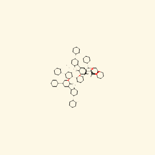 Cc1ccccc1-c1ccc2c(c1)c1cc(-c3ccccc3C)ccc1n2-c1ccc(-c2nc(-c3ccccc3)nc(-c3ccccc3)n2)cc1-c1ccc(-c2ccccc2C#N)cc1-n1c2ccc(-c3ccccc3C)cc2c2cc(-c3ccccc3C)ccc21